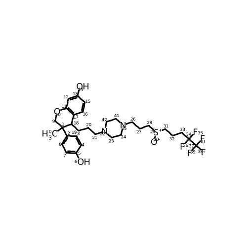 CC1(c2ccc(O)cc2)COc2cc(O)ccc2C1CCCN1CCN(CCC[S+]([O-])CCCC(F)(F)C(F)(F)F)CC1